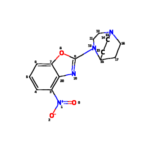 O=[N+]([O-])c1cccc2oc(N3CCN4CCC3CC4)nc12